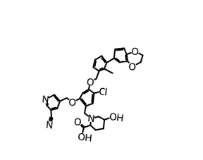 Cc1c(COc2cc(OCc3cncc(C#N)c3)c(CN3CC(O)CCC3C(=O)O)cc2Cl)cccc1-c1ccc2c(c1)OCCO2